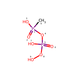 CP(=O)(O)OP(=O)(O)OO